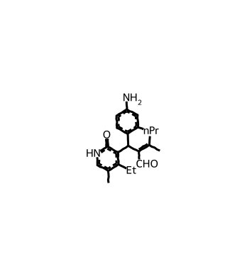 CCCc1cc(N)ccc1C(C(C=O)=C(C)C)c1c(CC)c(C)c[nH]c1=O